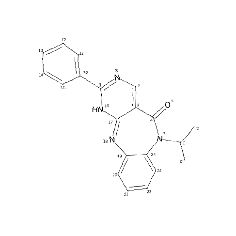 CC(C)N1C(=O)C2=CN=C(c3ccccc3)NC2=Nc2ccccc21